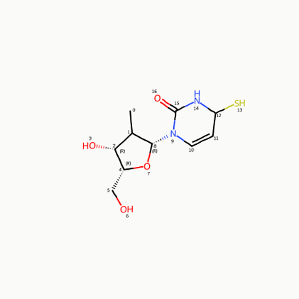 CC1[C@@H](O)[C@@H](CO)O[C@H]1N1C=CC(S)NC1=O